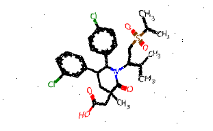 CC(C)C(CS(=O)(=O)C(C)C)N1C(=O)C(C)(CC(=O)O)CC(c2cccc(Cl)c2)C1c1ccc(Cl)cc1